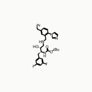 CC(C)Cc1ccc(-n2ccnc2)c(CNC[C@@H](O)[C@H](Cc2cc(F)cc(F)c2)NC(=O)OC(C)(C)C)c1